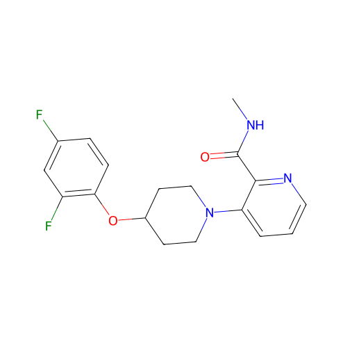 CNC(=O)c1ncccc1N1CCC(Oc2ccc(F)cc2F)CC1